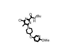 COc1ccc(OC2CCN(c3nc(C(=O)NC(C)(C)C)nc(Cl)c3C)CC2)cn1